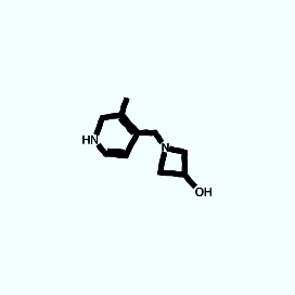 CC1=C(CN2CC(O)C2)C=CNC1